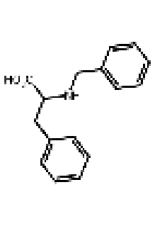 O=C(O)C(Cc1ccccc1)NCc1ccccc1